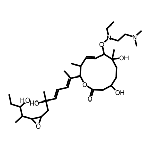 CCC(O)C(C)C1OC1CC(C)(O)/C=C/C=C(\C)C1OC(=O)CC(O)CCC(C)(O)C(ON(CC)CCN(C)C)/C=C/C1C